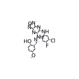 COc1ccc(O)c(/C=N/Nc2nc3nonc3nc2Nc2ccc(F)c(Cl)c2)c1